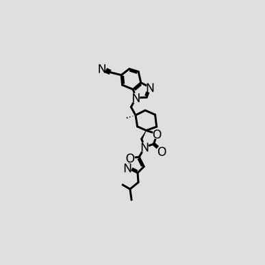 CC(C)Cc1cc(N2C[C@@]3(CCC[C@](C)(Cn4cnc5ccc(C#N)cc54)C3)OC2=O)on1